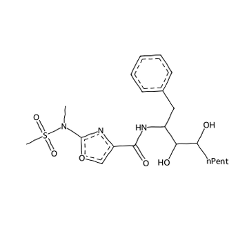 CCCCCC(O)C(O)C(Cc1ccccc1)NC(=O)c1coc(N(C)S(C)(=O)=O)n1